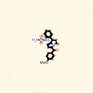 COc1ccc(C(=O)c2ccc3n2C(F)CC3c2ccccc2NS(N)(=O)=O)cc1